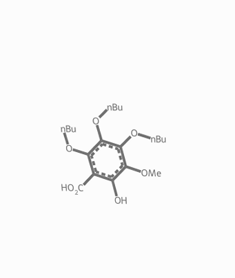 CCCCOc1c(OC)c(O)c(C(=O)O)c(OCCCC)c1OCCCC